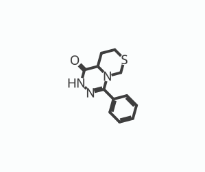 O=C1NN=C(c2ccccc2)N2CSCCC12